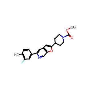 CC(C)(C)OC(=O)N1CCC(c2cc3cc(-c4ccc(C#N)c(F)c4)ncc3o2)CC1